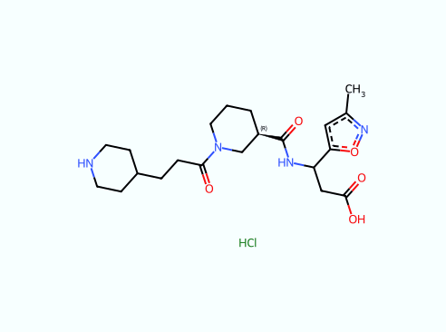 Cc1cc(C(CC(=O)O)NC(=O)[C@@H]2CCCN(C(=O)CCC3CCNCC3)C2)on1.Cl